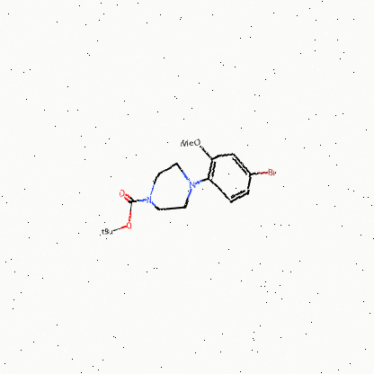 COc1cc(Br)ccc1N1CCN(C(=O)OC(C)(C)C)CC1